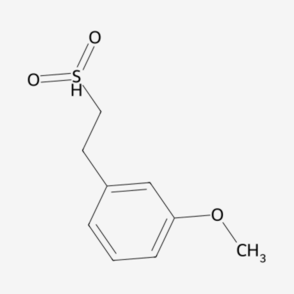 COc1cccc(CC[SH](=O)=O)c1